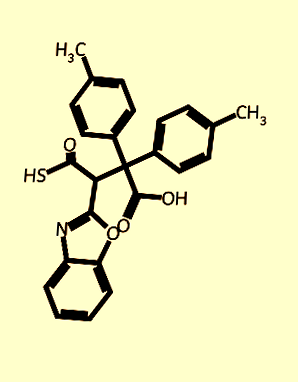 Cc1ccc(C(C(=O)O)(c2ccc(C)cc2)C(C(=O)S)c2nc3ccccc3o2)cc1